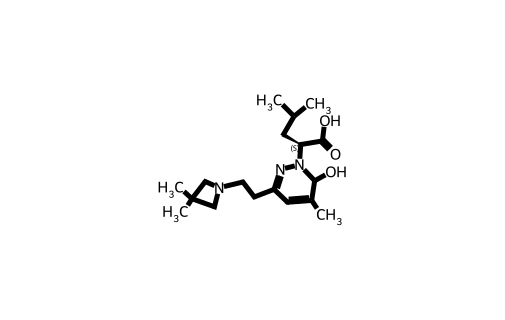 CC1=CC(CCN2CC(C)(C)C2)=NN([C@@H](CC(C)C)C(=O)O)C1O